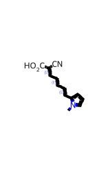 Cn1cccc1/C=C/C=C/C=C(\C#N)C(=O)O